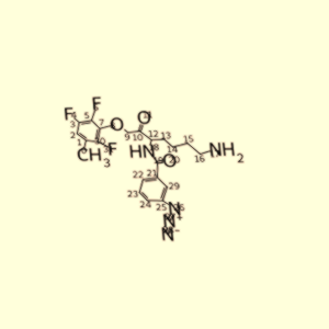 Cc1cc(F)c(F)c(OCC(=O)C(CCCCN)NC(=O)c2cccc(N=[N+]=[N-])c2)c1F